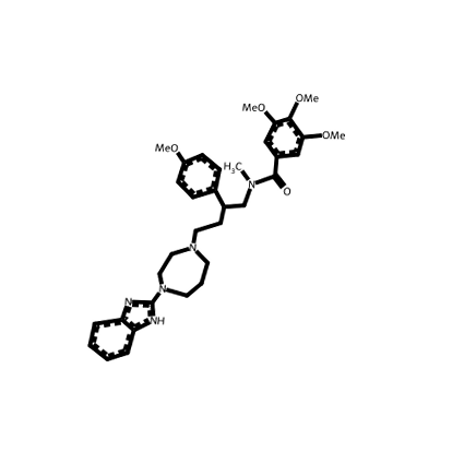 COc1ccc(C(CCN2CCCN(c3nc4ccccc4[nH]3)CC2)CN(C)C(=O)c2cc(OC)c(OC)c(OC)c2)cc1